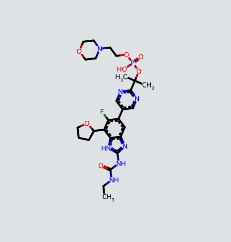 CCNC(=O)Nc1nc2cc(-c3cnc(C(C)(C)OP(=O)(O)OCCN4CCOCC4)nc3)c(F)c(C3CCCO3)c2[nH]1